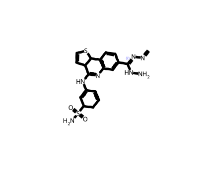 C=N/N=C(\NN)c1ccc2c(c1)N=C(NC1=CC(S(N)(=O)=O)CC=C1)C1C=CSC21